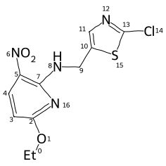 CCOc1ccc([N+](=O)[O-])c(NCc2cnc(Cl)s2)n1